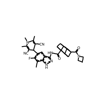 CC1=C(C#N)C(c2cc3c(NC(=O)C45C6C7C4C4C5C6C74C(=O)N4CCC4)n[nH]c3c(C)c2F)C(C#N)=C(C)N1C